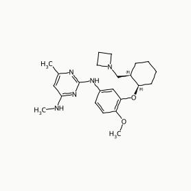 CNc1cc(C)nc(Nc2ccc(OC)c(O[C@@H]3CCCC[C@@H]3CN3CCC3)c2)n1